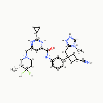 C[C@@H]1CN(Cc2cc(C(=O)Nc3cccc(C4(Cc5nncn5C)CC(C#N)C4)c3)nc(C3CC3)n2)CCC1(F)F